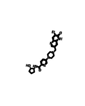 CCc1cc2ncc(CN3CCN(c4ccc(C(=O)N[C@H]5CCC[C@@H]5O)nc4)CC3)cc2[nH]c1=O